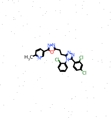 Cc1ccc(-c2nnc(CCc3nnc(-c4ccc(Cl)cc4Cl)n3-c3ccccc3Cl)o2)cn1